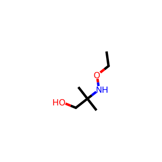 CCONC(C)(C)CO